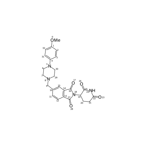 COc1ccc(N2CCN(Cc3ccc4c(c3)C(=O)N(C3CCC(=O)NC3=O)C4=O)CC2)cc1